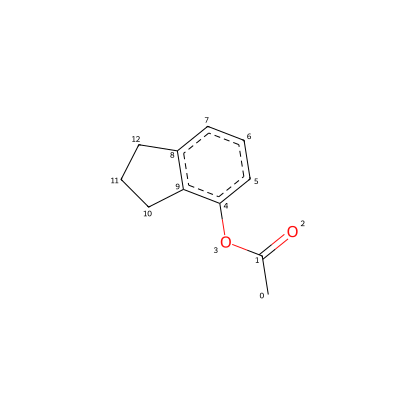 CC(=O)Oc1cccc2c1CCC2